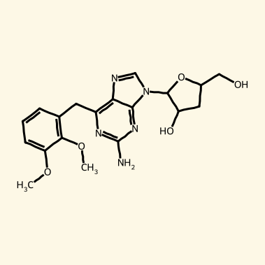 COc1cccc(Cc2nc(N)nc3c2ncn3C2OC(CO)CC2O)c1OC